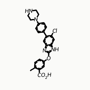 Cc1ccc(Oc2nc3cc(-c4ccc(N5CCNCC5)cc4)c(Cl)cc3[nH]2)cc1C(=O)O